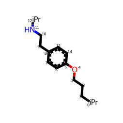 CC(C)CCCOc1ccc(CCNC(C)C)cc1